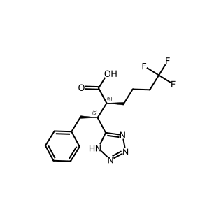 O=C(O)[C@@H](CCCC(F)(F)F)[C@H](Cc1ccccc1)c1nnn[nH]1